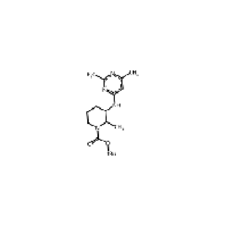 Cc1cc(NC2CCCN(C(=O)OC(C)(C)C)C2C)nc(C(F)(F)F)n1